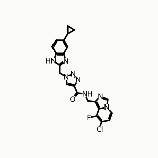 O=C(NCc1ncn2ccc(Cl)c(F)c12)c1cn(Cc2nc3cc(C4CC4)ccc3[nH]2)nn1